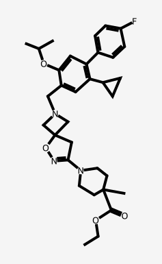 CCOC(=O)C1(C)CCN(C2=NOC3(C2)CN(Cc2cc(C4CC4)c(-c4ccc(F)cc4)cc2OC(C)C)C3)CC1